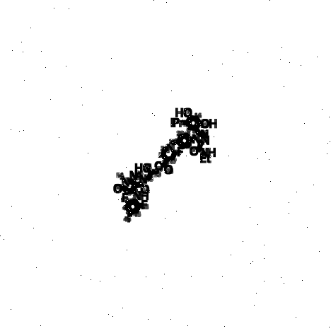 CCNC(=O)c1nnc(-c2cc(C(C)C)c(O)cc2O)n1-c1ccc(CN2CCC(C(=O)OC[C@H](O)Cn3cnc4c(c(Nc5ccc(I)cc5F)c(F)c(=O)n4C)c3=O)CC2)c(F)c1